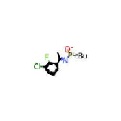 C/C(=N\[S@+]([O-])C(C)(C)C)c1cccc(Cl)c1F